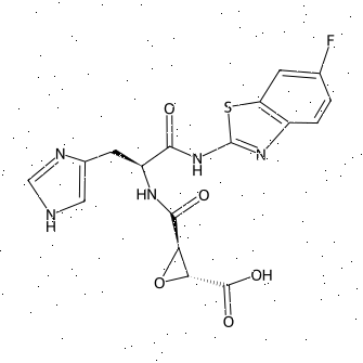 O=C(Nc1nc2ccc(F)cc2s1)[C@H](Cc1c[nH]cn1)NC(=O)[C@@H]1O[C@H]1C(=O)O